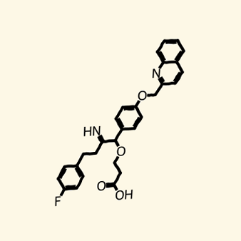 N=C(CCc1ccc(F)cc1)C(OCCC(=O)O)c1ccc(OCc2ccc3ccccc3n2)cc1